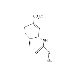 CCOC(=O)C1=C[C@H](NC(=O)OC(C)(C)C)[C@@H](F)CC1